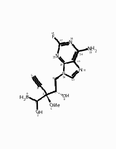 BC(O)[C@@](C#C)(OC)[C@@H](O)Cn1cnc2c(N)nc(F)nc21